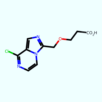 O=C(O)CCOCc1ncc2c(Cl)nccn12